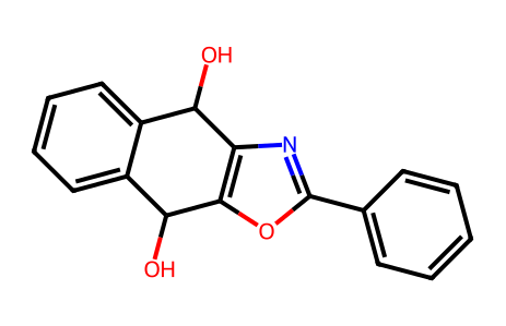 OC1c2ccccc2C(O)c2oc(-c3ccccc3)nc21